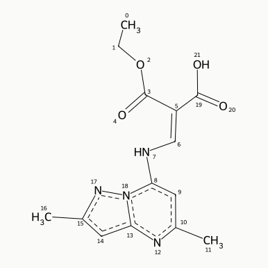 CCOC(=O)C(=CNc1cc(C)nc2cc(C)nn12)C(=O)O